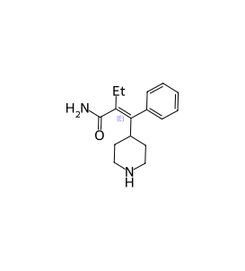 CC/C(C(N)=O)=C(\c1ccccc1)C1CCNCC1